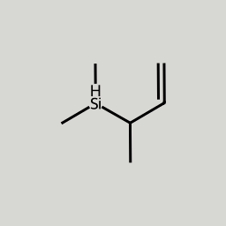 C=CC(C)[SiH](C)C